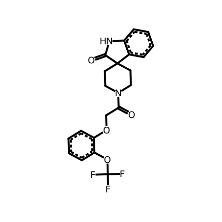 O=C(COc1ccccc1OC(F)(F)F)N1CCC2(CC1)C(=O)Nc1ccccc12